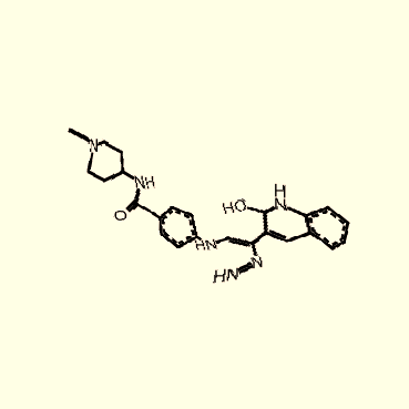 CN1CCC(NC(=O)c2ccc(N/C=C(\N=N)C3=Cc4ccccc4NC3O)cc2)CC1